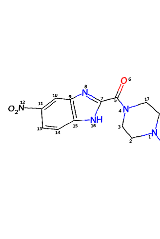 CN1CCN(C(=O)c2nc3cc([N+](=O)[O-])ccc3[nH]2)CC1